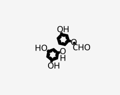 O=COc1cccc(O)c1.Oc1cc(O)cc(O)c1